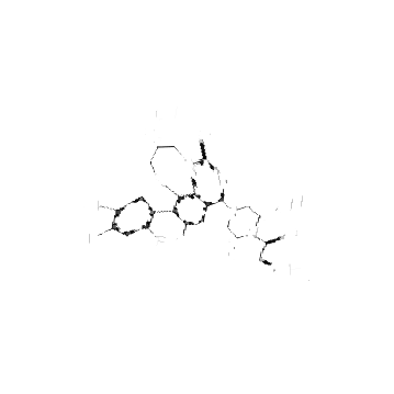 C=CC(=O)N1[C@H](C)CN(c2nc(=O)n3c4c(c(-c5cc(Cl)c(F)cc5F)c(Cl)cc24)SC[C@H](OC)C3)C[C@@H]1C